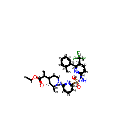 CCOC(=O)C(C)C1CCN(c2cccc(S(=O)(=O)Nc3ccc(C(F)(F)F)c(-c4ccccc4C)n3)n2)C(C)C1